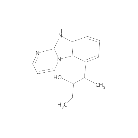 CCC(O)C(C)C1=CC=CC2NC3N=CC=CN3C12